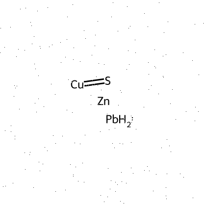 [PbH2].[S]=[Cu].[Zn]